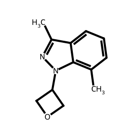 Cc1nn(C2COC2)c2c(C)cccc12